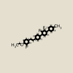 CCOc1ccc(/C=C/c2ccc(-c3ccc(-c4ccc(C)cc4)c(F)c3F)cc2)cc1F